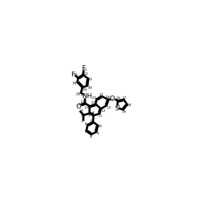 CC(C)c1c(-c2ccccc2)cc2cc(Oc3cccs3)ccc2c1C(=O)NCc1ccc(F)c(F)c1